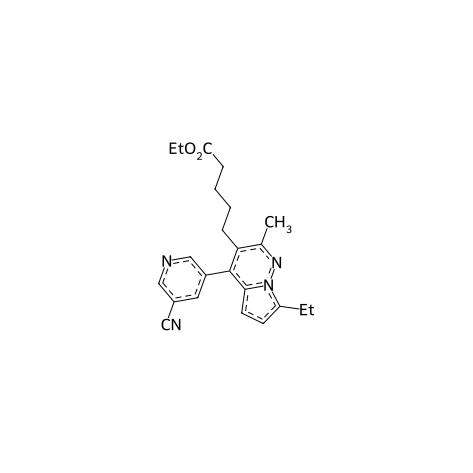 CCOC(=O)CCCCc1c(C)nn2c(CC)ccc2c1-c1cncc(C#N)c1